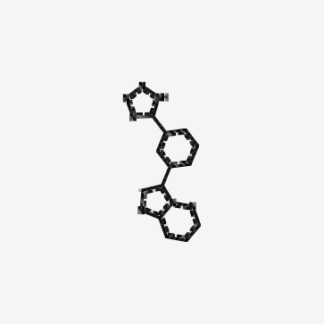 [c]1nc2cccnn2c1-c1cccc(-c2nnn[nH]2)c1